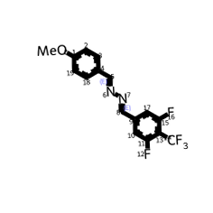 COc1ccc(/C=N/N=C/c2cc(F)c(C(F)(F)F)c(F)c2)cc1